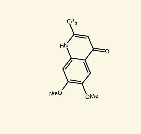 COc1cc2[nH]c(C)cc(=O)c2cc1OC